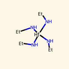 CC[NH][Hf]([NH]CC)([NH]CC)[NH]CC